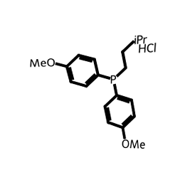 COc1ccc(P(CCC(C)C)c2ccc(OC)cc2)cc1.Cl